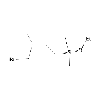 CCO[Si](C)(C)CCC(C)CC(C)CC